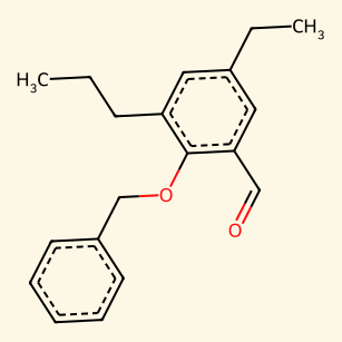 CCCc1cc(CC)cc(C=O)c1OCc1ccccc1